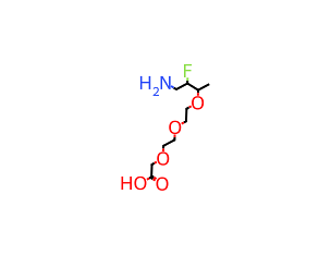 CC(OCCOCCOCC(=O)O)C(F)CN